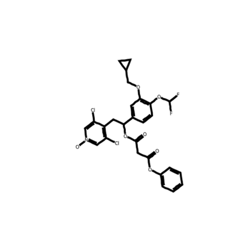 O=C(CC(=O)OC(Cc1c(Cl)c[n+]([O-])cc1Cl)c1ccc(OC(F)F)c(OCC2CC2)c1)Oc1ccccc1